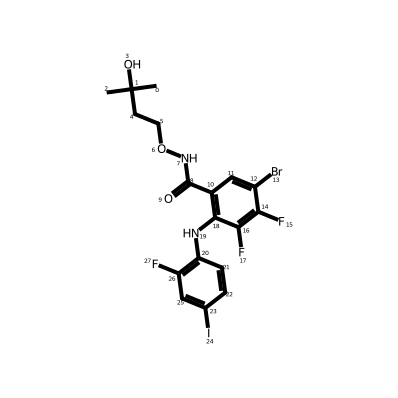 CC(C)(O)CCONC(=O)c1cc(Br)c(F)c(F)c1Nc1ccc(I)cc1F